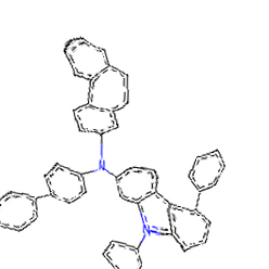 c1ccc(-c2ccc(N(c3ccc4c(ccc5ccccc54)c3)c3ccc4c5c(-c6ccccc6)cccc5n(-c5ccccc5)c4c3)cc2)cc1